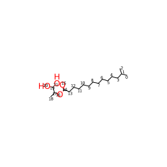 CC(C)CCCCCCCCCCCC(=O)OC(C)C(O)O